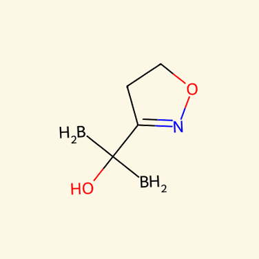 BC(B)(O)C1=NOCC1